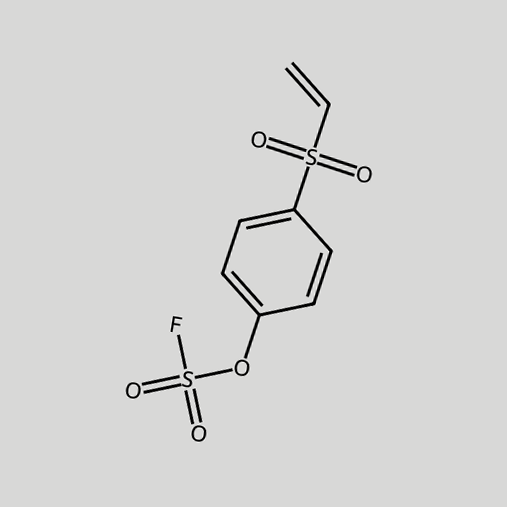 C=CS(=O)(=O)c1ccc(OS(=O)(=O)F)cc1